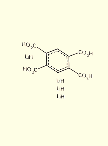 O=C(O)c1cc(C(=O)O)c(C(=O)O)cc1C(=O)O.[LiH].[LiH].[LiH].[LiH]